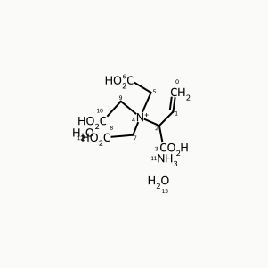 C=CC(C(=O)O)[N+](CC(=O)O)(CC(=O)O)CC(=O)O.N.O.O